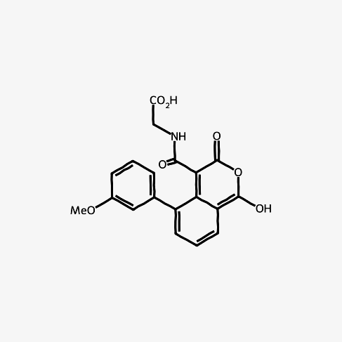 COc1cccc(-c2cccc3c(O)oc(=O)c(C(=O)NCC(=O)O)c23)c1